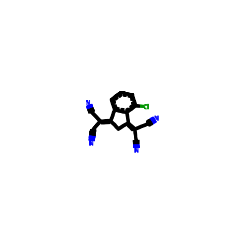 N#CC(C#N)=C1CC(=C(C#N)C#N)c2c(Cl)cccc21